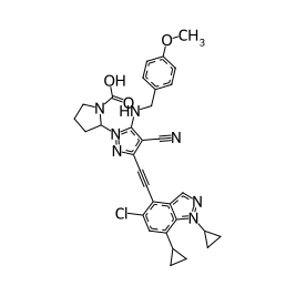 COc1ccc(CNc2c(C#N)c(C#Cc3c(Cl)cc(C4CC4)c4c3cnn4C3CC3)nn2C2CCCN2C(=O)O)cc1